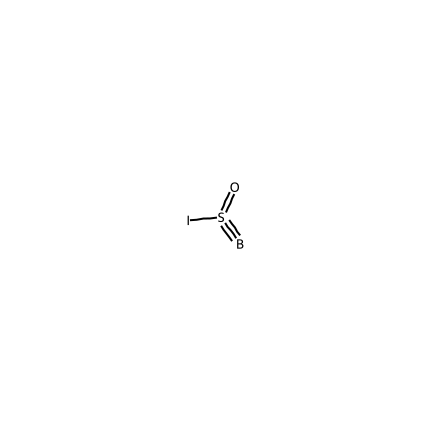 B#S(=O)I